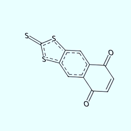 O=C1C=CC(=O)c2cc3sc(=S)sc3cc21